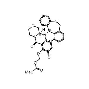 COC(=O)OCOc1c2n(ccc1=O)N([C@@H]1c3ccccc3SCc3cccc(Cl)c31)[C@@H]1COCCN1C2=O